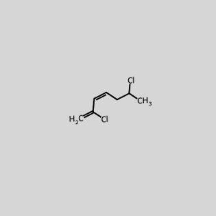 C=C(Cl)/C=C\CC(C)Cl